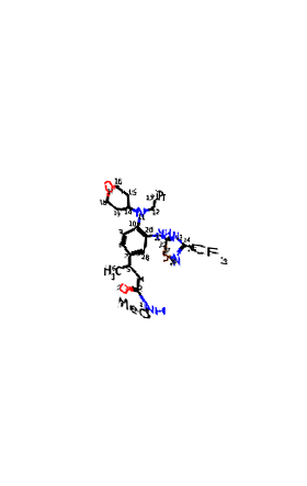 CONC(=O)CC(C)c1ccc(N(CC(C)C)C2CCOCC2)c(Nc2nc(C(F)(F)F)ns2)c1